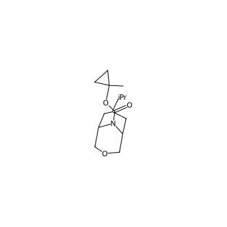 CC(C)C1CC2COCC(C1)N2C(=O)OC1(C)CC1